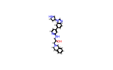 OC(CNc1cc(-c2ccc3ncn(C4CCNC4)c3c2)ccn1)CN1CCc2ccccc2C1